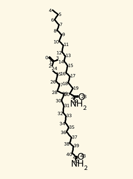 C=C(C)C.CCCCCCCCCCCCCCCCCC(N)=O.CCCCCCCCCCCCCCCCCC(N)=O